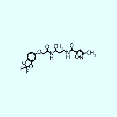 C=C(CCNC(=O)c1cc(C)no1)NC(=O)COc1ccc2c(c1)OC(F)(F)O2